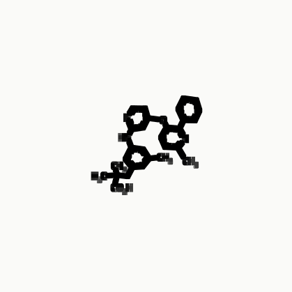 Cc1cc(CC(C)(C)C(=O)O)cc(Nc2cc(Oc3ccc(C)nc3-c3ccccc3)ccn2)c1